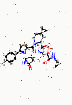 O=C(NC1CC1)C(=O)[C@H](C[C@@H]1CCNC1=O)NC(=O)[C@@H]1CC2(CCN1C(=O)c1nc(-c3ccc(Cl)cc3)cs1)CC2